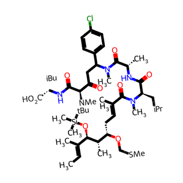 C/C=C(\C)[C@@H](O[Si](C)(C)C(C)(C)C)[C@@H](C)[C@H](C/C=C(\C)C(=O)N(C)[C@H](CC(C)C)C(=O)N[C@@H](C)C(=O)N(C)C(CC(=O)[C@@H](NC)C(=O)N[C@H](C(=O)O)[C@H](C)CC)c1ccc(Cl)cc1)OCSC